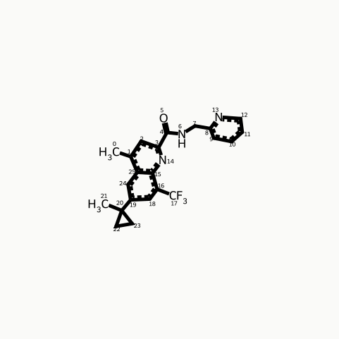 Cc1cc(C(=O)NCc2ccccn2)nc2c(C(F)(F)F)cc(C3(C)CC3)cc12